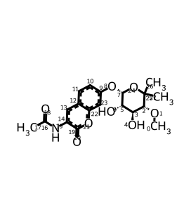 CO[C@@H]1[C@@H](O)[C@H](O)[C@H](Oc2ccc3cc(NC(C)=O)c(=O)oc3c2)OC1(C)C